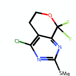 CSc1nc(Cl)c2c(n1)C(F)(F)OCC2